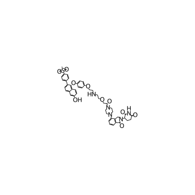 CS(=O)(=O)c1ccc(-c2ccc3cc(O)ccc3c2Oc2ccc(OCCNCCOCC(=O)N3CCN(c4cccc5c4CN(C4CCC(=O)NC4=O)C5=O)CC3)cc2)cc1